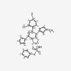 Cn1ccc(C2=C3C[C@H](NS(=O)(=O)Cc4ccccc4)CN3C(c3nccs3)=N[C@H]2c2ccc(F)cc2Cl)n1